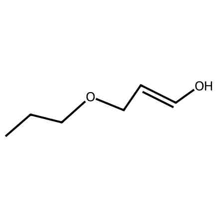 CCCOCC=CO